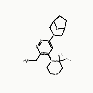 CC1(C)COCCN1c1cc(N2CC3CCC(C2)O3)nnc1CN